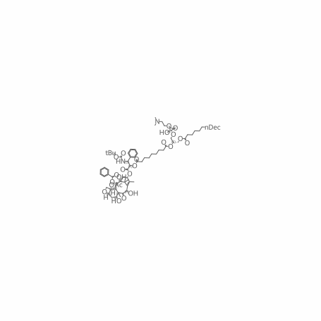 CCCCCCCCCCCCCCCC(=O)OC[C@@H](COP(=O)(O)OCCN(C)C)OC(=O)CCCCCCCC(=O)O[C@@H](C(=O)OC1C[C@@]2(O)[C@@H](OC(=O)c3ccccc3)[C@@H]3[C@]4(OC(C)=O)CO[C@@H]4C[C@H](O)[C@@]3(C)C(=O)[C@H](O)C(=C1C)C2(C)C)[C@@H](NC(=O)OC(C)(C)C)c1ccccc1